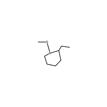 CCC1CCCCN1OC